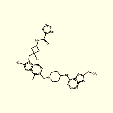 CCC1(Cn2c(C#N)cc3c(C)c(CN4CCC(Nc5ncnc6sc(CC(F)(F)F)cc56)CC4)ccc32)CC(NC(=O)c2cnc[nH]2)C1